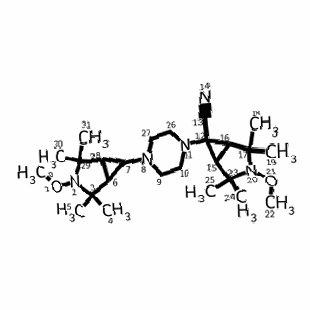 CON1C(C)(C)C2C(N3CCN(C4(C#N)C5C4C(C)(C)N(OC)C5(C)C)CC3)C2C1(C)C